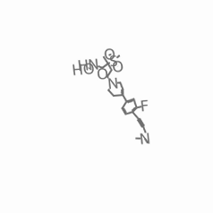 CN(C)CC#Cc1ccc(C2=CCN(CCC(C)(C(=O)NO)S(C)(=O)=O)CC2)cc1F